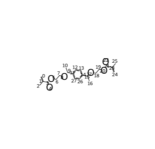 C=C(C)C(=O)OCCOC(C)c1ccc(C(C)OCCOC(=O)C(=C)C)cc1